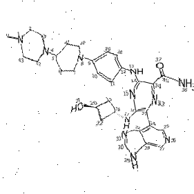 CN1CCN(C2CCN(c3ccc(Nc4nc(N[C@H]5C[C@H](O)C5)c(-c5cncc6[nH]cnc56)nc4C(N)=O)cc3)CC2)CC1